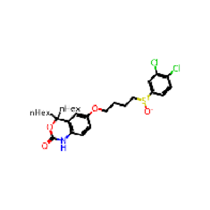 CCCCCCC1(CCCCCC)OC(=O)Nc2ccc(OCCCC[S+]([O-])c3ccc(Cl)c(Cl)c3)cc21